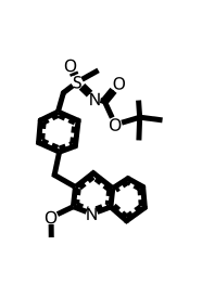 COc1nc2ccccc2cc1Cc1ccc(CS(C)(=O)=NC(=O)OC(C)(C)C)cc1